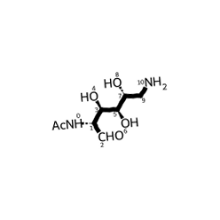 CC(=O)N[C@@H](C=O)[C@@H](O)[C@H](O)[C@H](O)CN